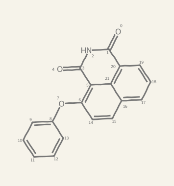 O=C1NC(=O)c2c(Oc3ccccc3)ccc3cccc1c23